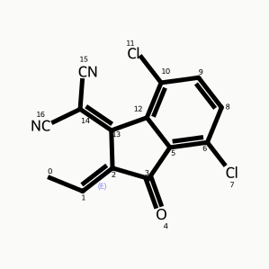 C/C=C1/C(=O)c2c(Cl)ccc(Cl)c2C1=C(C#N)C#N